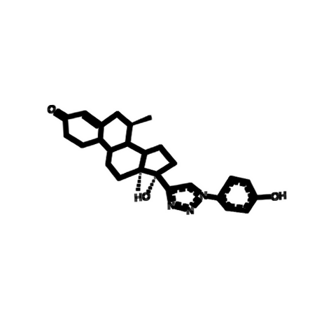 C[C@@H]1CC2=CC(=O)CCC2C2CC[C@@]3(C)C(CC[C@@]3(O)c3cn(-c4ccc(O)cc4)nn3)C21